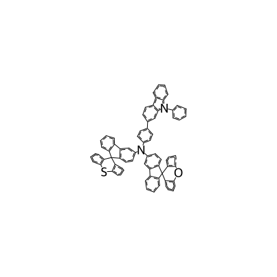 c1ccc(-n2c3ccccc3c3ccc(-c4ccc(N(c5ccc6c(c5)-c5ccccc5C65c6ccccc6Oc6ccccc65)c5ccc6c(c5)-c5ccccc5C65c6ccccc6Sc6ccccc65)cc4)cc32)cc1